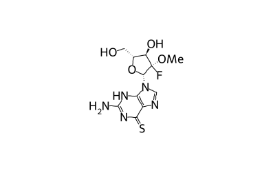 CO[C@@]1(F)[C@H](O)[C@@H](CO)O[C@H]1n1cnc2c(=S)nc(N)[nH]c21